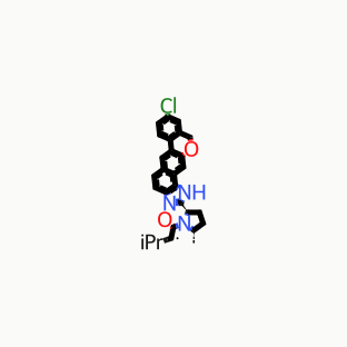 CC(C)[CH]C(=O)N1[C@@H](C)CC[C@H]1c1nc2ccc3cc4c(cc3c2[nH]1)OCc1cc(Cl)ccc1-4